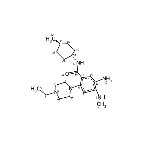 CCN1CCN(c2cc(NC)c(N)cc2C(=O)N[C@H]2CC[C@H](C)CC2)CC1